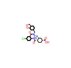 CN(Cc1ccc2c(c1)OOC2)C(=O)c1cc(Cl)ccc1NC(=O)[C@H]1CC[C@H](C(=O)O)CC1